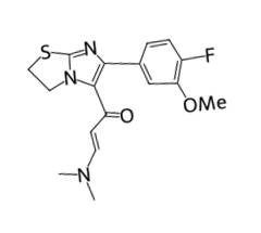 COc1cc(-c2nc3n(c2C(=O)C=CN(C)C)CCS3)ccc1F